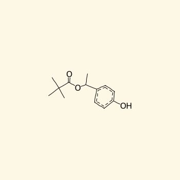 CC(OC(=O)C(C)(C)C)c1ccc(O)cc1